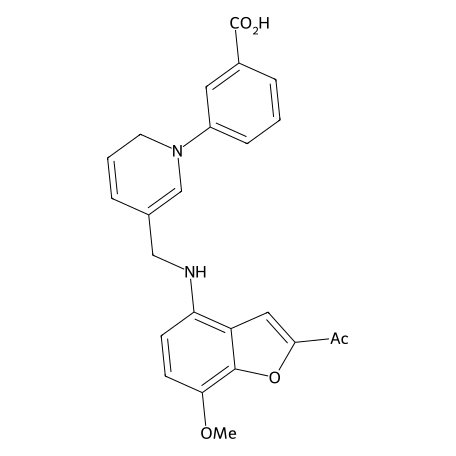 COc1ccc(NCC2=CN(c3cccc(C(=O)O)c3)CC=C2)c2cc(C(C)=O)oc12